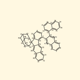 c1cc(-c2nc3ccccc3nc2-c2cccc3ccccc23)c2c(c1)C1(c3cc4ccccc4cc3-2)C2CC3CC(C2)CC1C3